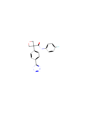 O=C(Nc1ccc(F)cc1)C1(c2ccc(-c3nnn[nH]3)cc2)COC1